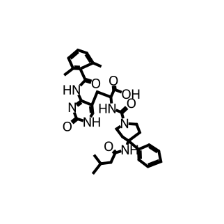 Cc1cccc(C)c1C(=O)Nc1nc(=O)[nH]cc1CC(NC(=O)N1CCC(NC(=O)CC(C)C)(c2ccccc2)CC1)C(=O)O